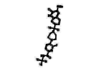 [2H]C([2H])([2H])NC(=O)c1ccc(N2CCN(C([2H])([2H])c3ccc4nc(OC)c(=O)[nH]c4c3)CC2)c(F)n1